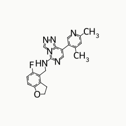 Cc1cc(C)c(-c2cnc(NCc3c(F)ccc4c3CCO4)n3cnnc23)cn1